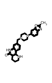 Cc1nc2ccc(N3CCN(Cc4ccc5c6c(c(=O)[nH]c5c4)CCCN6)CC3)cc2o1